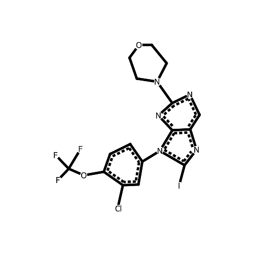 FC(F)(F)Oc1ccc(-n2c(I)nc3cnc(N4CCOCC4)nc32)cc1Cl